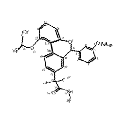 COc1cccc(C2Oc3cccc(OC(F)F)c3-c3ccc(C(F)(F)C(=O)NF)cc32)c1